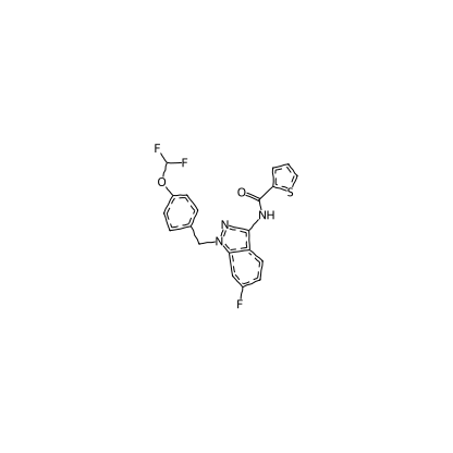 O=C(Nc1nn(Cc2ccc(OC(F)F)cc2)c2cc(F)ccc12)c1cccs1